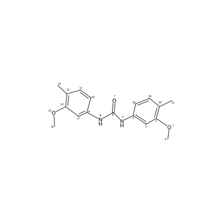 COc1cc(NC(=O)Nc2ccc(C)c(OC)c2)ccc1C